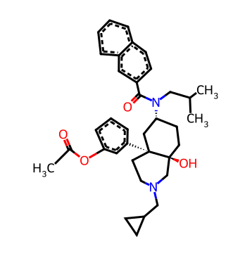 CC(=O)Oc1cccc([C@@]23CCN(CC4CC4)C[C@@]2(O)CC[C@@H](N(CC(C)C)C(=O)c2ccc4ccccc4c2)C3)c1